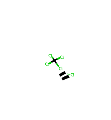 C=C.C=C.Cl.ClC(Cl)(Cl)Cl